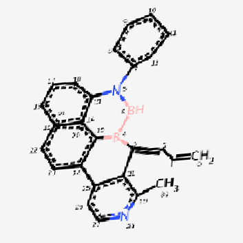 C=C/C=C1/B(BN(c2ccccc2)c2ccccc2)c2ccccc2-c2ccnc(C)c21